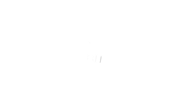 CCC(C)CC1(O)CCCCC1